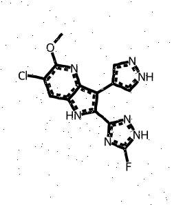 COc1nc2c(-c3cn[nH]c3)c(-c3n[nH]c(F)n3)[nH]c2cc1Cl